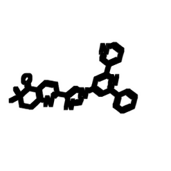 CC1(C)CCc2nc(-c3cn(-c4cc(-c5ccccc5)nc(-c5cccnc5)c4)cn3)ccc2C1=O